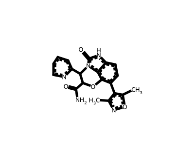 Cc1noc(C)c1-c1ccc2[nH]c(=O)n3c2c1OC(C(N)=O)C3c1ccccn1